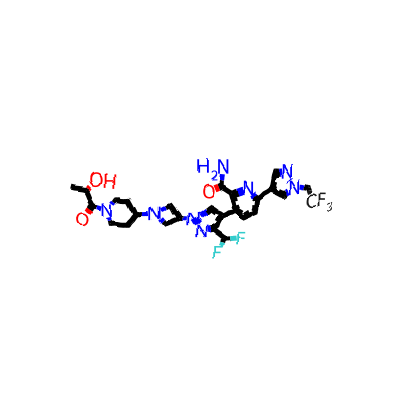 CC(O)C(=O)N1CCC(N2CC(n3cc(-c4ccc(-c5cnn(CC(F)(F)F)c5)nc4C(N)=O)c(C(F)F)n3)C2)CC1